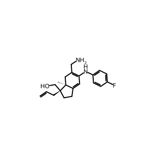 C=CC[C@]1(CO)CCC2=CC(Nc3ccc(F)cc3)=C(CN)C[C@@]21C